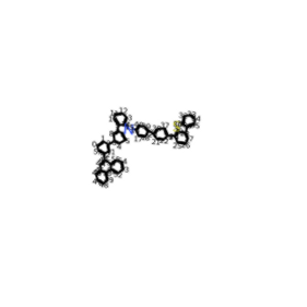 c1cc(-c2ccc3c(c2)c2ccccc2n3-c2ccc(-c3ccc(-c4cccc5c4sc4ccccc45)cc3)cc2)cc(-c2cc3ccccc3c3ccccc23)c1